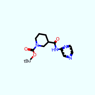 CC(C)(C)OC(=O)N1CCCC(C(=O)Nc2cnccn2)C1